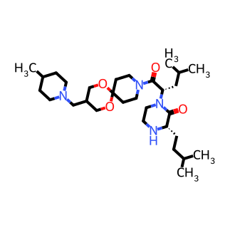 CC(C)CC[C@@H]1NCCN([C@@H](CC(C)C)C(=O)N2CCC3(CC2)OCC(CN2CCC(C)CC2)CO3)C1=O